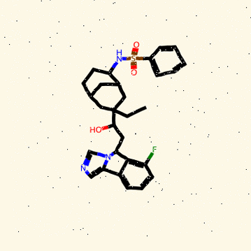 CCC1(C(O)CC2c3c(F)cccc3-c3cncn32)CC2CCC(NS(=O)(=O)c3ccccc3)C(C2)C1